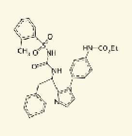 CCOC(=O)Nc1ccc(-n2ccnc2C(Cc2ccccc2)NC(=O)NS(=O)(=O)c2ccccc2C)cc1